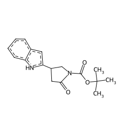 CC(C)(C)OC(=O)N1CC(c2cc3ccccc3[nH]2)CC1=O